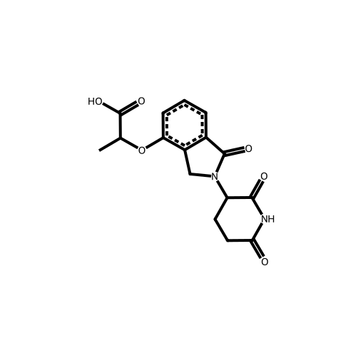 CC(Oc1cccc2c1CN(C1CCC(=O)NC1=O)C2=O)C(=O)O